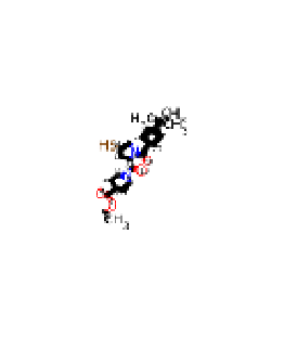 CCOC(=O)C1CCN(C(=O)[C@@H]2C[C@H](S)CN2C(=O)c2ccc(C(C)(C)C)cc2)CC1